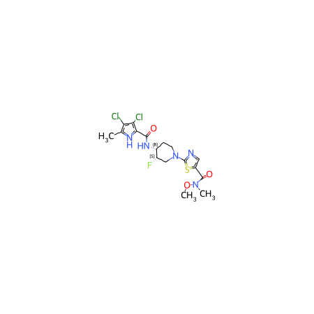 CON(C)C(=O)c1cnc(N2CC[C@@H](NC(=O)c3[nH]c(C)c(Cl)c3Cl)[C@@H](F)C2)s1